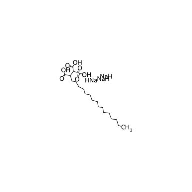 CCCCCCCCCCCCCCCCC(C(=O)O)C(C(=O)O)S(=O)(=O)O.[NaH].[NaH].[NaH]